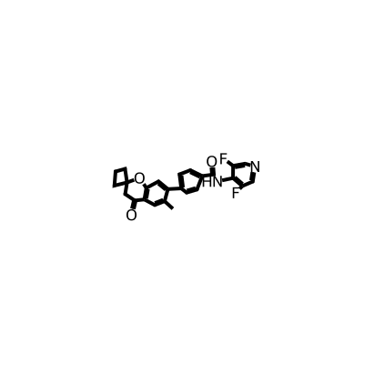 Cc1cc2c(cc1-c1ccc(C(=O)Nc3c(F)cncc3F)cc1)OC1(CCC1)CC2=O